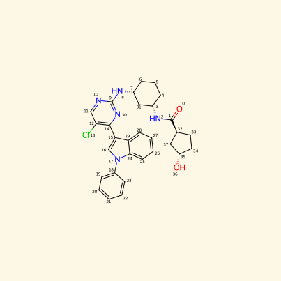 O=C(N[C@H]1CCC[C@@H](Nc2ncc(Cl)c(-c3cn(-c4ccccc4)c4ccccc34)n2)C1)[C@H]1CC[C@H](O)C1